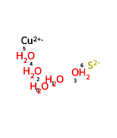 O.O.O.O.O.[Cu+2].[S-2]